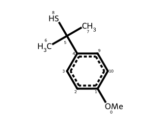 COc1ccc(C(C)(C)S)cc1